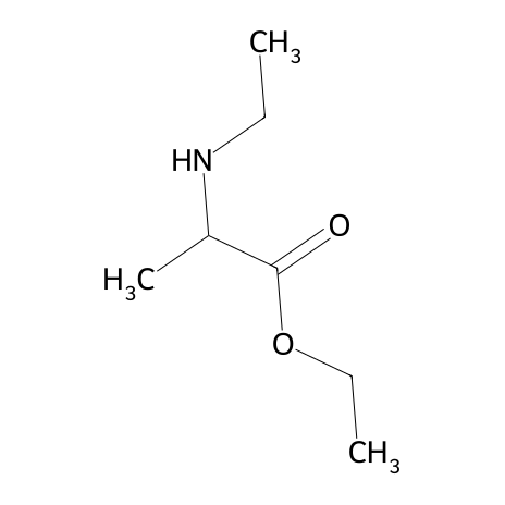 CCNC(C)C(=O)OCC